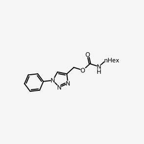 CCCCCCNC(=O)OCc1cn(-c2ccccc2)nn1